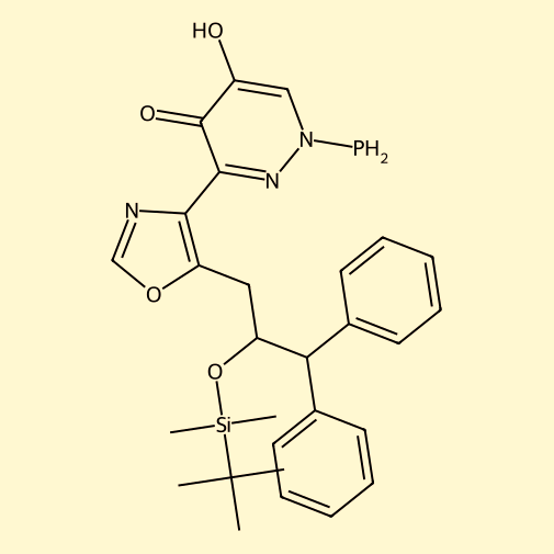 CC(C)(C)[Si](C)(C)OC(Cc1ocnc1-c1nn(P)cc(O)c1=O)C(c1ccccc1)c1ccccc1